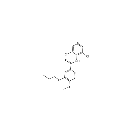 [CH2]CCOc1cc(C(=O)Nc2c(Cl)cncc2Cl)ccc1OC